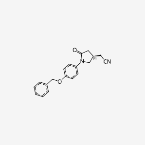 N#CC[C@@H]1CC(=O)N(c2ccc(OCc3ccccc3)cc2)C1